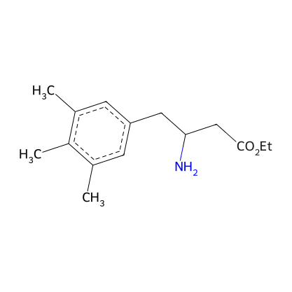 CCOC(=O)CC(N)Cc1cc(C)c(C)c(C)c1